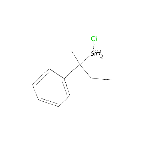 CCC(C)([SiH2]Cl)c1ccccc1